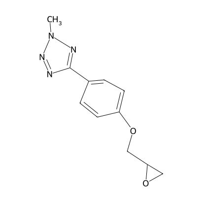 Cn1nnc(-c2ccc(OCC3CO3)cc2)n1